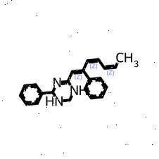 C\C=C/C=C\C(=C\C1=NC(c2ccccc2)NCN1)c1ccccc1